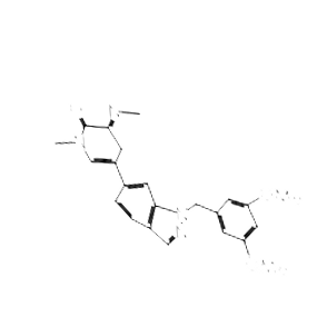 CN=C1CC(c2ccc3cnn(Cc4cc(OC)cc(OC)c4)c3c2)=CN(C)C1=O